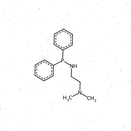 CN(C)CCNP(c1ccccc1)c1ccccc1